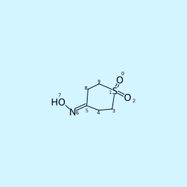 O=S1(=O)CCC(=NO)CC1